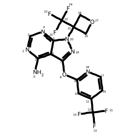 Nc1ncnc2c1c(Oc1cc(C(F)(F)F)ccn1)nn2C1(C(F)(F)F)COC1